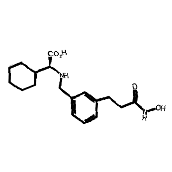 O=C(CCc1cccc(CN[C@H](C(=O)O)C2CCCCC2)c1)NO